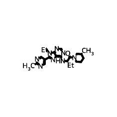 CC[C@H](Nc1ncnc2c1nc(-c1cnc(C)nc1)n2CC)C(=O)N1CCC[C@H](C)C1